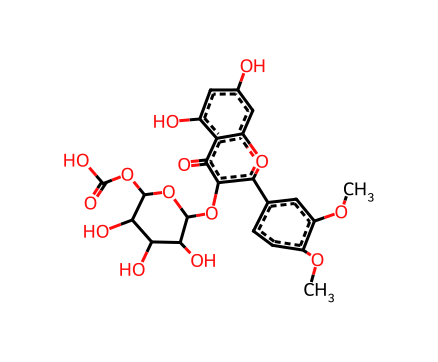 COc1ccc(-c2oc3cc(O)cc(O)c3c(=O)c2OC2OC(OC(=O)O)C(O)C(O)C2O)cc1OC